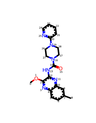 COc1nc2ccc(C)cc2nc1NC(=O)N1CCN(c2ccccn2)CC1